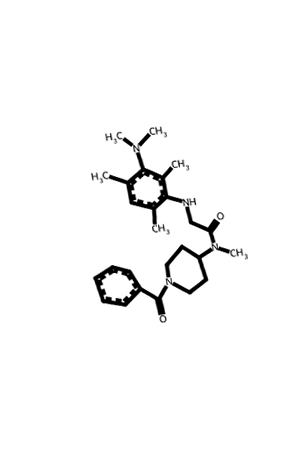 Cc1cc(C)c(N(C)C)c(C)c1NCC(=O)N(C)C1CCN(C(=O)c2ccccc2)CC1